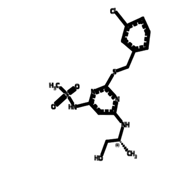 C[C@H](CO)Nc1cc(NS(C)(=O)=O)nc(SCc2cccc(Cl)c2)n1